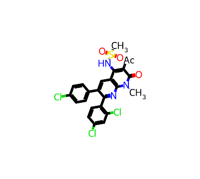 CC(=O)c1c(NS(C)(=O)=O)c2cc(-c3ccc(Cl)cc3)c(-c3ccc(Cl)cc3Cl)nc2n(C)c1=O